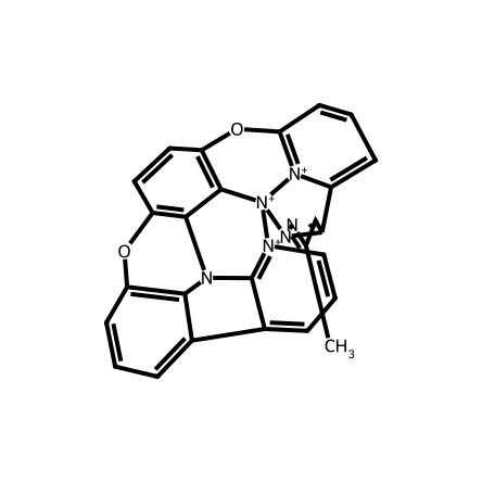 Cc1cc2n(n1)[N+]13c4c(ccc5c4-n4c6c(cccc6c6ccc[n+]1c64)O5)Oc1cccc-2[n+]13